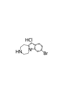 Brc1ccc2cc3n(c2c1)CCNCC3.Cl